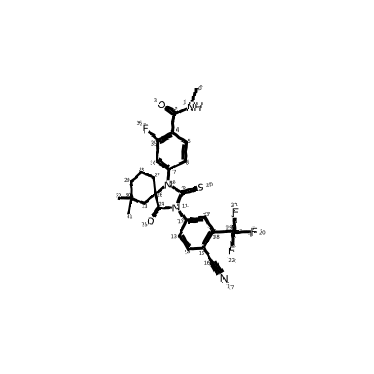 CNC(=O)c1ccc(N2C(=S)N(c3ccc(C#N)c(C(F)(F)F)c3)C(=O)C23CCCC(C)(C)C3)cc1F